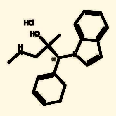 CNCC(C)(O)[C@H](C1=CC=CCC1)n1ccc2ccccc21.Cl